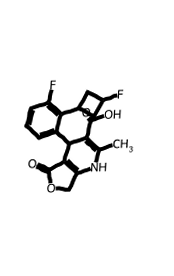 CC1=C(C(=O)O)C(c2cccc(F)c2C2CC(F)C2)C2=C(COC2=O)N1